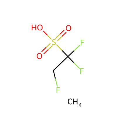 C.O=S(=O)(O)C(F)(F)CF